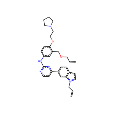 C=CCOCc1cc(Nc2nccc(-c3ccc4ccn(CC=C)c4c3)n2)ccc1OCCN1CCCC1